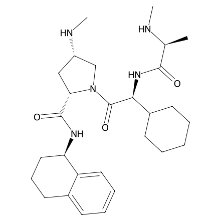 CN[C@H]1C[C@@H](C(=O)N[C@@H]2CCCc3ccccc32)N(C(=O)[C@@H](NC(=O)[C@H](C)NC)C2CCCCC2)C1